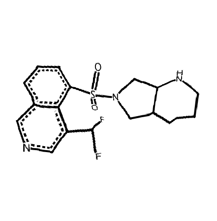 O=S(=O)(c1cccc2cncc(C(F)F)c12)N1CC2CCCNC2C1